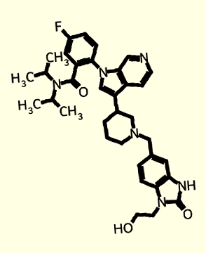 CC(C)N(C(=O)c1cc(F)ccc1-n1cc(C2CCCN(Cc3ccc4c(c3)[nH]c(=O)n4CCO)C2)c2ccncc21)C(C)C